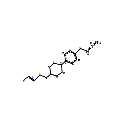 C/C=C/CCC1CCC(c2ccc(CN=[N+]=[N-])cc2)CC1